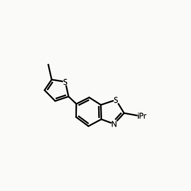 Cc1ccc(-c2ccc3nc(C(C)C)sc3c2)s1